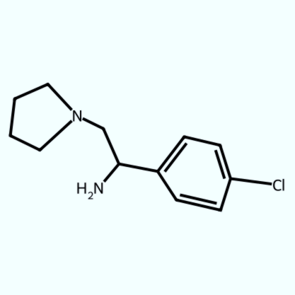 NC(CN1CCCC1)c1ccc(Cl)cc1